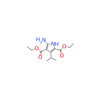 CCOC(=O)c1[nH]c(N)c(C(=O)OCC)c1C(C)C